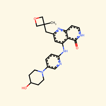 CC1(Cc2cc(Nc3ccc(N4CCC(O)CC4)cn3)c3c(=O)[nH]ccc3n2)COC1